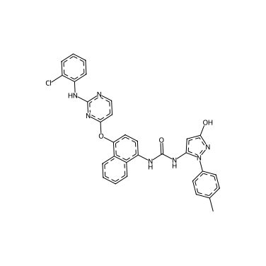 Cc1ccc(-n2nc(O)cc2NC(=O)Nc2ccc(Oc3ccnc(Nc4ccccc4Cl)n3)c3ccccc23)cc1